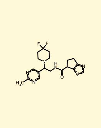 Cc1ncc(C(CNC(=O)C2CCc3ncsc32)N2CCC(F)(F)CC2)cn1